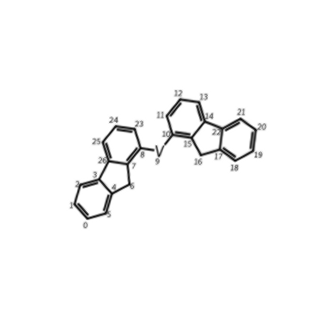 c1ccc2c(c1)Cc1[c]([V][c]3cccc4c3Cc3ccccc3-4)cccc1-2